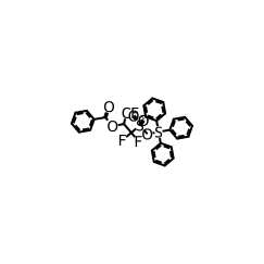 O=C(OC(C(F)(F)F)C(F)(F)S(=O)(=O)OS(c1ccccc1)(c1ccccc1)c1ccccc1)c1ccccc1